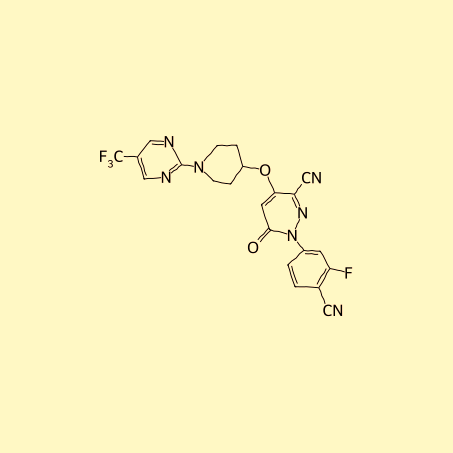 N#Cc1ccc(-n2nc(C#N)c(OC3CCN(c4ncc(C(F)(F)F)cn4)CC3)cc2=O)cc1F